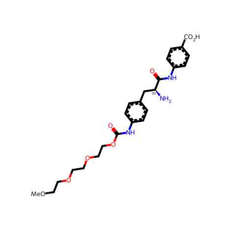 COCCOCCOCCOC(=O)Nc1ccc(C[C@H](N)C(=O)Nc2ccc(C(=O)O)cc2)cc1